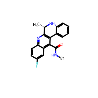 CCNC(=O)c1c(-c2ccccc2)c([C@H](C)N)nc2ccc(F)cc12